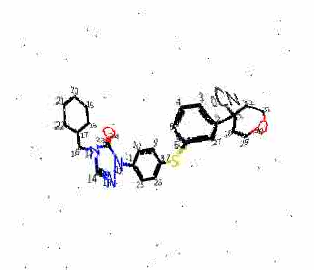 N#CC1(c2cccc(Sc3ccc(-n4ncn(CC5CCCCC5)c4=O)cc3)c2)CCOCC1